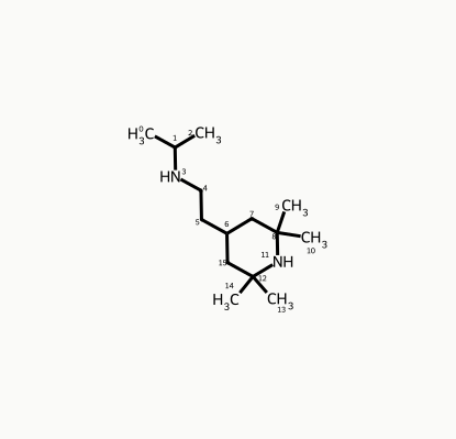 CC(C)NCCC1CC(C)(C)NC(C)(C)C1